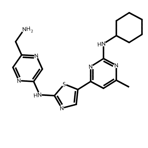 Cc1cc(-c2cnc(Nc3cnc(CN)cn3)s2)nc(NC2CCCCC2)n1